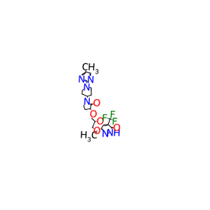 COCC(CO[C@H]1CCN(C2CCN(c3ncc(C)cn3)CC2)C1=O)Oc1cn[nH]c(=O)c1C(F)(F)F